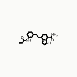 C=CC(=O)Nc1cccc(CCc2ccc(C(N)=O)c3[nH]ccc23)c1